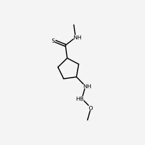 CNC(=S)C1CCC(NBOC)C1